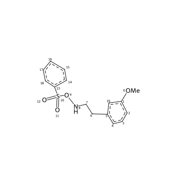 COc1cccc(CCNOS(=O)(=O)c2ccccc2)c1